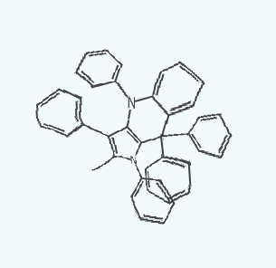 Cc1c(-c2ccccc2)c2c(n1-c1ccccc1)C(c1ccccc1)(c1ccccc1)c1ccccc1N2c1ccccc1